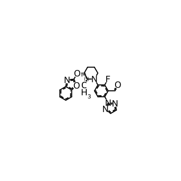 C[C@H]1[C@H](Oc2nc3ccccc3o2)CCCN1c1ccc(-n2nccn2)c(C=O)c1F